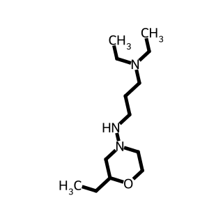 CCC1CN(NCCCN(CC)CC)CCO1